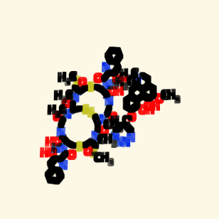 C1=CN=NN=NC=C1.COc1ccc2c(c1O)-c1c(O)c(OC)cc3c1[C@H](C2)[N+](C)(C)CC3.CSCC1C(=O)SCC(NC(=O)c2nc3ccccc3cc2O)C(O)=NCC(=O)N(C)C2CSSCC(C(=O)N1C)N(C)C(=O)CN=C(O)C(NC(=O)c1nc3ccccc3cc1O)CSC(=O)C(CSC)N(C)C2=O